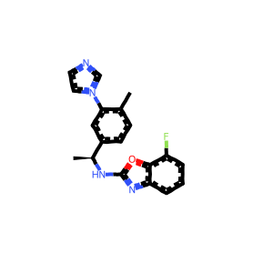 Cc1ccc([C@H](C)Nc2nc3cccc(F)c3o2)cc1-n1ccnc1